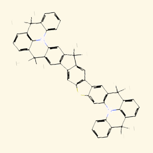 CC1(C)c2cc3c(cc2-c2cc4sc5cc6c(cc5c4cc21)C(C)(C)c1cccc2c1N6c1ccccc1C2(C)C)C(C)(C)c1cccc2c1N3c1ccccc1C2(C)C